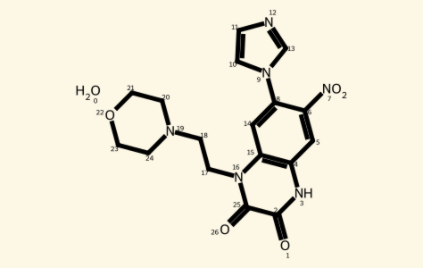 O.O=c1[nH]c2cc([N+](=O)[O-])c(-n3ccnc3)cc2n(CCN2CCOCC2)c1=O